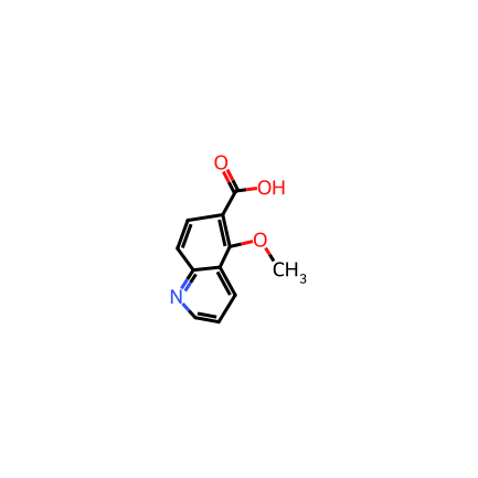 COc1c(C(=O)O)ccc2ncccc12